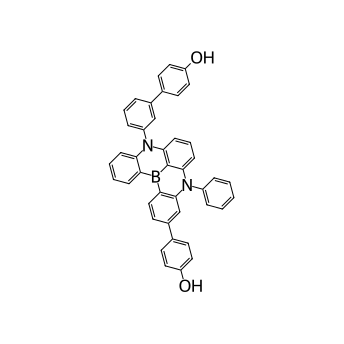 Oc1ccc(-c2cccc(N3c4ccccc4B4c5ccc(-c6ccc(O)cc6)cc5N(c5ccccc5)c5cccc3c54)c2)cc1